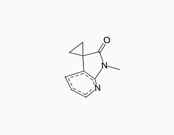 CN1C(=O)C2(CC2)c2cccnc21